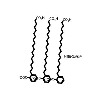 O=C(O)CCCCCCCCCCCCCCCCCc1ccccc1C(=O)[O-].O=C(O)CCCCCCCCCCCCCCCCCc1ccccc1C(=O)[O-].O=C(O)CCCCCCCCCCCCCCCCCc1ccccc1C(=O)[O-].[Al+3].[Al+3].[OH-].[OH-].[OH-]